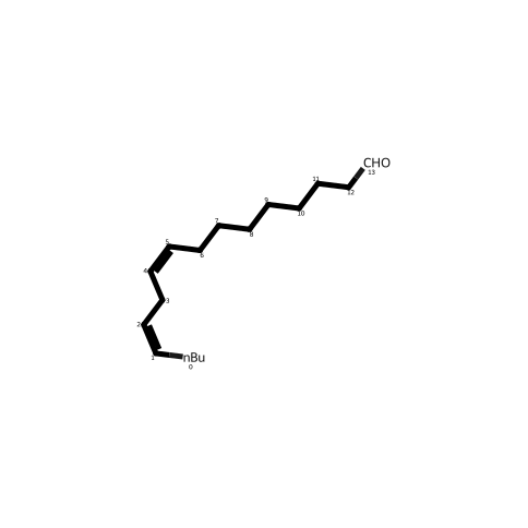 CCCC/C=C\C/C=C\CCCCCCCC=O